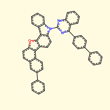 c1ccc(-c2ccc(-c3nc(-n4c5ccccc5c5c6oc7ccc8cc(-c9ccccc9)ccc8c7c6ccc54)nc4ccccc34)cc2)cc1